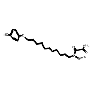 CCCCCCCCCCN(CCCCCCCCCCCOc1ccc(O)cc1)C(=O)C(N)=O